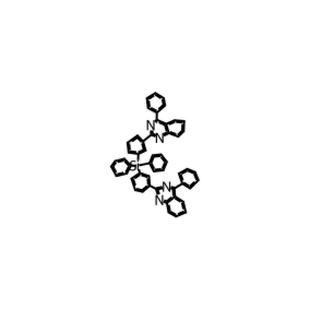 c1ccc(-c2nc(-c3cccc([Si](c4ccccc4)(c4ccccc4)c4cccc(-c5nc(-c6ccccc6)c6ccccc6n5)c4)c3)nc3ccccc23)cc1